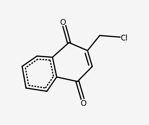 O=C1C=C(CCl)C(=O)c2ccccc21